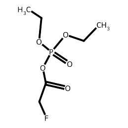 CCOP(=O)(OCC)OC(=O)CF